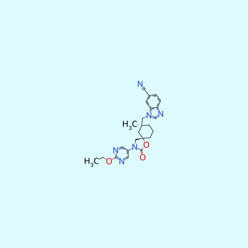 CCOc1ncc(N2C[C@@]3(CCC[C@](C)(Cn4cnc5ccc(C#N)cc54)C3)OC2=O)cn1